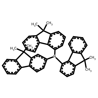 CC1(C)c2ccccc2-c2ccc(N(c3cccc4c3-c3ccccc3C4(C)C)c3cccc4c3-c3ccccc3C4(C)C)cc21